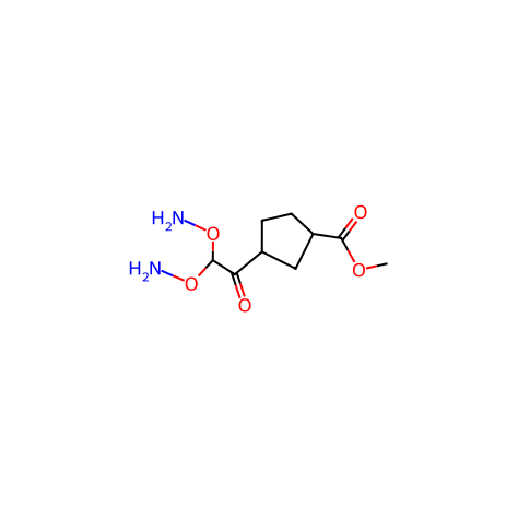 COC(=O)C1CCC(C(=O)C(ON)ON)C1